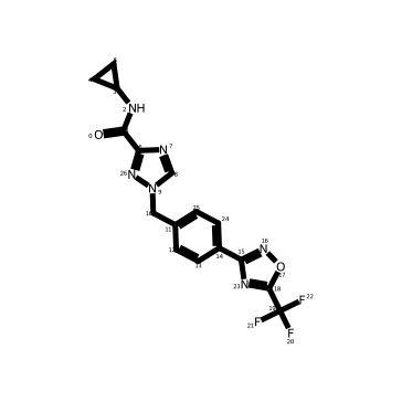 O=C(NC1CC1)c1ncn(Cc2ccc(-c3noc(C(F)(F)F)n3)cc2)n1